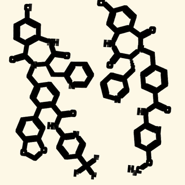 COc1ccc(NC(=O)c2ccc(CN3C(=O)c4ccc(Cl)cc4NC(=O)[C@H]3Cc3cccnc3)cc2)nc1.O=C(Nc1ccc(C(F)(F)F)cn1)c1ccc(CN2C(=O)c3ccc(Cl)cc3NC(=O)[C@H]2Cc2ccccn2)cc1-c1ccc2c(c1)OCO2